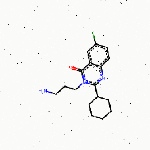 NCCCn1c(C2CCCCC2)nc2ccc(Cl)cc2c1=O